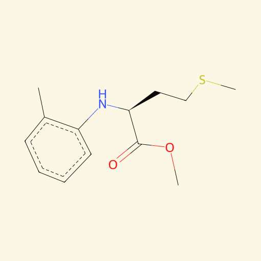 COC(=O)[C@H](CCSC)Nc1ccccc1C